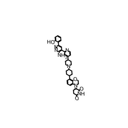 Nc1nnc(-c2ccccc2O)cc1-c1cc(C2CCN(C3CCC(c4cccc5c4OCCN5[C@H]4CCC(=O)NC4=O)CC3)CC2)ccn1